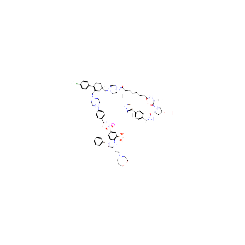 Cc1ncsc1-c1ccc([C@H](C)NC(=O)[C@@H]2C[C@@H](O)CN2C(=O)[C@@H](NC(=O)CCCCCCC(=O)N2CCN(C[C@]3(C)CCC(c4ccc(Cl)cc4)=C(CN4CCN(c5ccc(C(=O)NS(=O)(=O)c6ccc(N[C@H](CCN7CCCOCC7)CSc7ccccc7)c(S(=O)(=O)C(F)(F)F)c6)cc5)CC4)C3)C[C@H]2C)C(C)(C)C)cc1